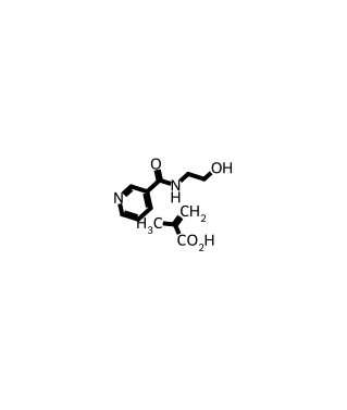 C=C(C)C(=O)O.O=C(NCCO)c1cccnc1